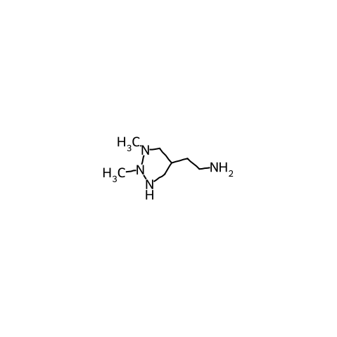 CN1CC(CCN)CNN1C